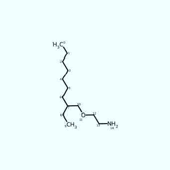 CCCCCCCC(CC)COCCN